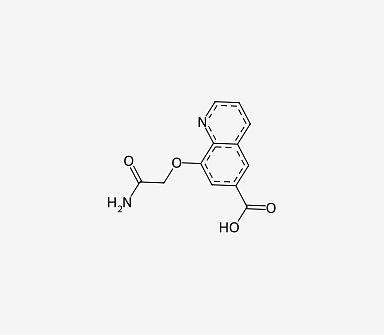 NC(=O)COc1cc(C(=O)O)cc2cccnc12